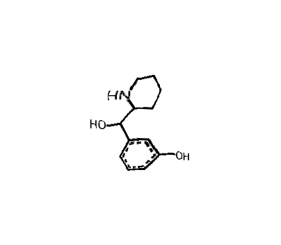 Oc1cccc(C(O)C2CCCCN2)c1